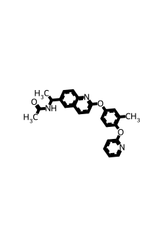 CC(=O)NC(C)c1ccc2nc(Oc3ccc(Oc4ccccn4)c(C)c3)ccc2c1